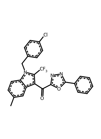 Cc1ccc2c(c1)c(C(=O)c1nnc(-c3ccccc3)o1)c(C(F)(F)F)n2Cc1ccc(Cl)cc1